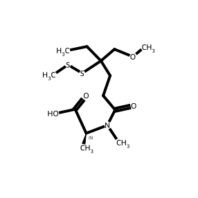 CCC(CCC(=O)N(C)[C@@H](C)C(=O)O)(COC)SSC